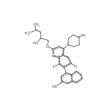 CC(=O)N1CCN(c2nc(OCC(O)CN(C)C)nc3c(F)c(-c4cc(O)cc5ccccc45)c(Cl)cc23)CC1